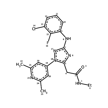 CCNC(=O)Cc1nc(Nc2cccc(Cl)c2F)nn1-c1cc(C)nc(C)c1